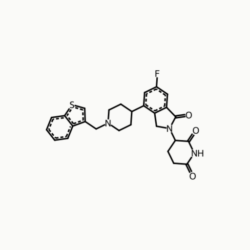 O=C1CCC(N2Cc3c(cc(F)cc3C3CCN(Cc4csc5ccccc45)CC3)C2=O)C(=O)N1